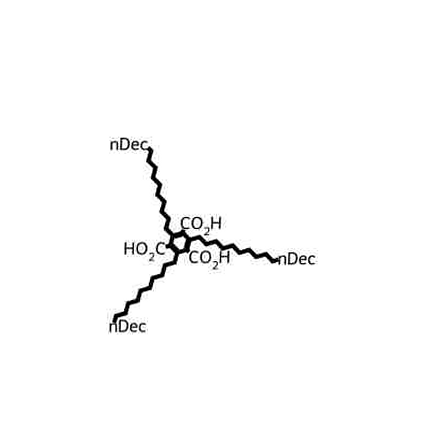 CCCCCCCCCCCCCCCCCCCCc1c(C(=O)O)c(CCCCCCCCCCCCCCCCCCCC)c(C(=O)O)c(CCCCCCCCCCCCCCCCCCCC)c1C(=O)O